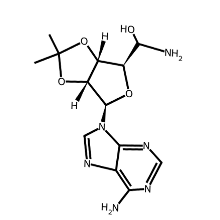 CC1(C)O[C@@H]2[C@H](O1)[C@@H](C(N)O)O[C@H]2n1cnc2c(N)ncnc21